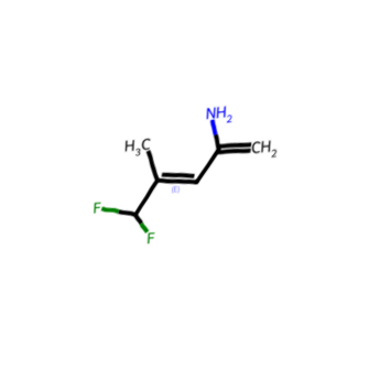 C=C(N)/C=C(\C)C(F)F